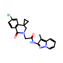 Cc1c(NC(=O)CN2CC3(CC3)c3cc(Br)ccc3C2=O)nn2ccccc12